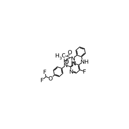 CS(=O)(=O)Nc1ccccc1Nc1nc(Nc2ccc(OC(F)F)cc2)ncc1F